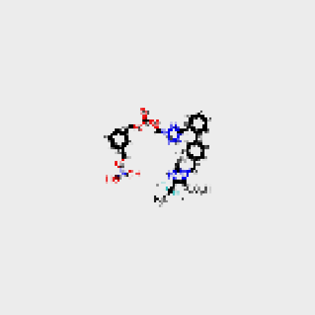 CCCc1nc(C(F)(F)C(F)(F)F)c(C(=O)O)n1Cc1ccc(-c2ccccc2-c2nnn(COC(=O)OCc3cccc(CON(O)O)c3)n2)cc1